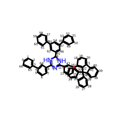 c1ccc(-c2cccc(C3N=C(c4cccc(-c5cccc6c5C(c5ccccc5)(c5ccccc5)c5ccccc5-6)c4)NC(c4cc(-c5ccccc5)cc(-c5ccccc5)c4)N3)c2)cc1